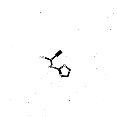 C#CC(CCC)NC1=NCCO1